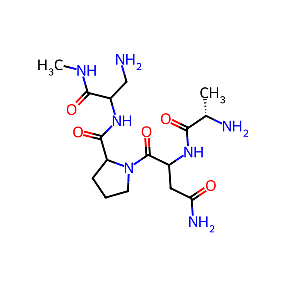 CNC(=O)C(CN)NC(=O)C1CCCN1C(=O)C(CC(N)=O)NC(=O)[C@H](C)N